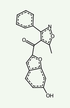 Cc1onc(-c2ccccc2)c1C(=O)c1cc2ccc(O)cc2o1